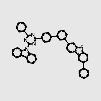 c1ccc(-c2ccc3sc4cc(-c5cccc(-c6ccc(-c7nc(-c8ccccc8)nc(-n8c9ccccc9c9ccccc98)n7)cc6)c5)ccc4c3c2)cc1